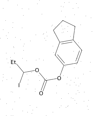 CCC(I)OC(=O)Oc1ccc2c(c1)CCC2